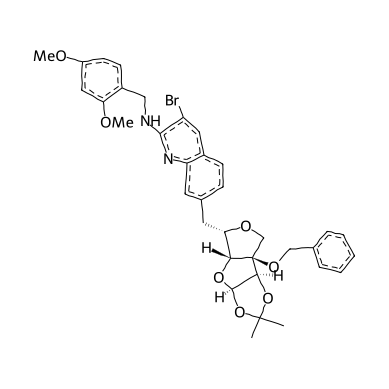 COc1ccc(CNc2nc3cc(C[C@@H]4OC[C@@]5(OCc6ccccc6)[C@@H]4O[C@@H]4OC(C)(C)O[C@@H]45)ccc3cc2Br)c(OC)c1